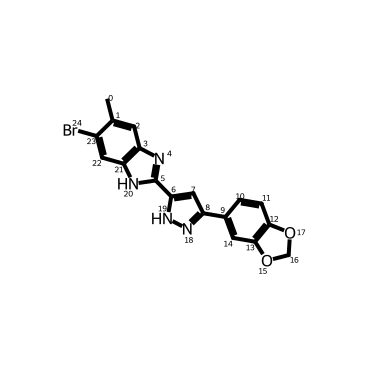 Cc1cc2nc(-c3cc(-c4ccc5c(c4)OCO5)n[nH]3)[nH]c2cc1Br